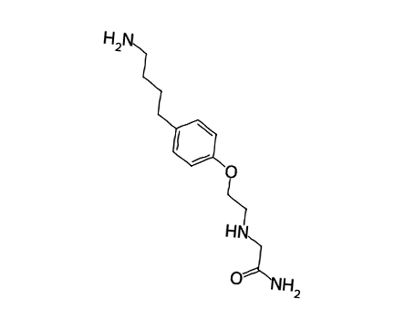 NCCCCc1ccc(OCCNCC(N)=O)cc1